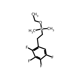 CCO[Si](C)(C)CCc1cc(F)c(F)c(F)c1F